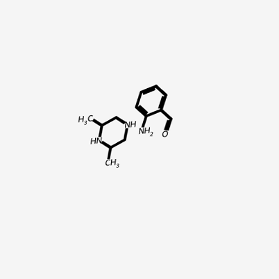 CC1CNCC(C)N1.Nc1ccccc1C=O